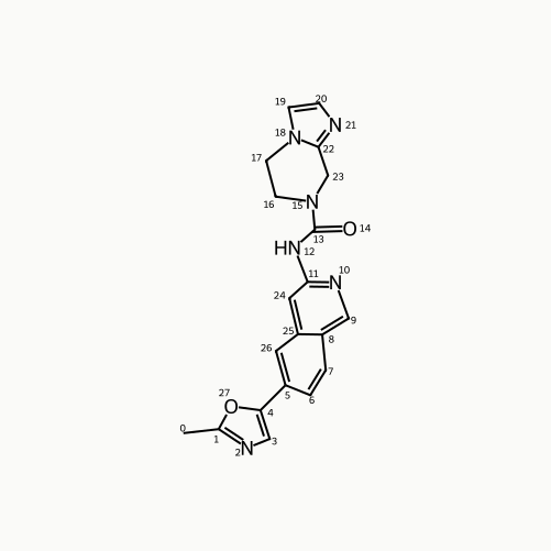 Cc1ncc(-c2ccc3cnc(NC(=O)N4CCn5ccnc5C4)cc3c2)o1